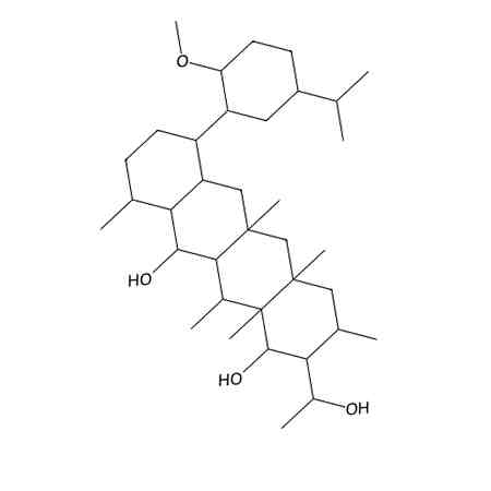 COC1CCC(C(C)C)CC1C1CCC(C)C2C(O)C3C(C)C4(C)C(O)C(C(C)O)C(C)CC4(C)CC3(C)CC12